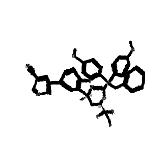 COc1ccc([N+](Cc2ccccc2)(C2=N[C@](C)(c3cc(-c4cncc(C#N)c4)ccc3F)C[C@@H](C(F)(F)F)O2)c2ccc(OC)cc2)cc1